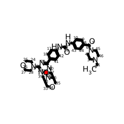 CCN1CCN(C(=O)c2ccc(NC(=O)Nc3ccc(-c4nc(N5CCOCC5)nc(N5C6COCC5COC6)n4)cc3)cc2)CC1